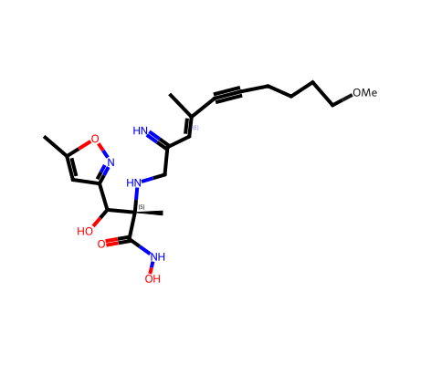 COCCCCC#C/C(C)=C/C(=N)CN[C@](C)(C(=O)NO)C(O)c1cc(C)on1